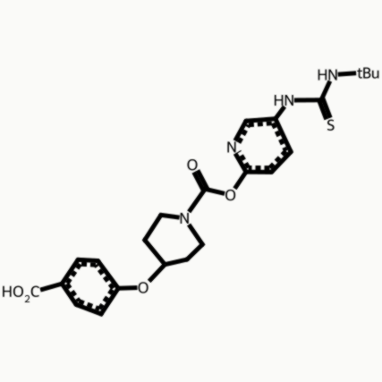 CC(C)(C)NC(=S)Nc1ccc(OC(=O)N2CCC(Oc3ccc(C(=O)O)cc3)CC2)nc1